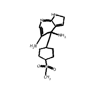 CS(=O)(=O)C1CCC(C2(N)C(N)=CN=C3NCC=C32)CC1